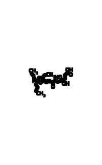 CCCC[PH](CCCC)(CCCC)CCCNC(=O)CCC(O)(O)CCC(=O)O